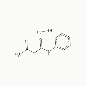 CC(=O)CC(=O)Nc1ccccc1.SS